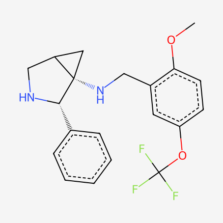 COc1ccc(OC(F)(F)F)cc1CN[C@@]12CC1CN[C@H]2c1ccccc1